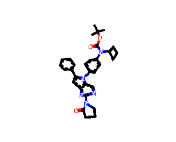 CC(C)(C)OC(=O)N(c1ccc(-n2c(-c3ccccc3)cc3nc(N4CCCC4=O)ncc32)cc1)C1CCC1